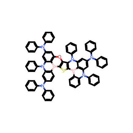 c1ccc(N(c2ccccc2)c2ccc3c(c2)N(c2ccccc2)c2cc(N(c4ccccc4)c4ccccc4)cc4c2B3c2sc3c(c2O4)N(c2ccccc2)c2cc(N(c4ccccc4)c4ccccc4)cc4c2B3c2ccccc2N4c2ccccc2)cc1